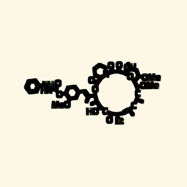 CCC1C=C(C)CC(C)CC(OC)C2OC(O)(C(=O)C(=O)N3CCCCC3C(=O)OC(C(C)=CC3CCC(OC(=O)NNc4ccccc4)C(OC)C3)C(C)C(O)CC1=O)C(C)CC2OC